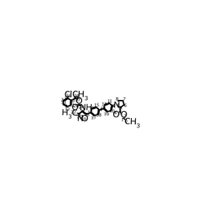 CCOC(=O)C1CCCN1c1ccc(-c2ccc(-c3onc(C)c3NC(=O)O[C@H](C)c3ccccc3Cl)cc2)cc1